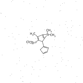 CC1=[C]([Zr+2])C(C2=CC=CC2)C2=C1[Si]2(C)C.[Cl-].[Cl-]